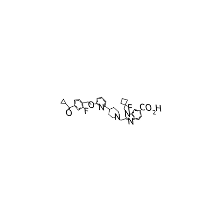 O=C(O)c1ccc2nc(CN3CCC(c4cccc(OCc5ccc(C(=O)C6CC6)cc5F)n4)CC3)n(CC3(F)CCC3)c2c1